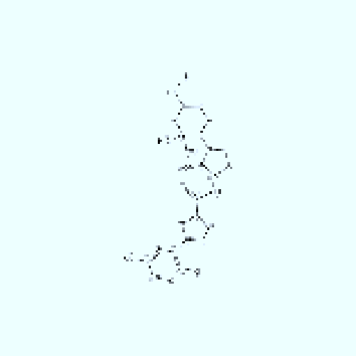 CC(C)(C)NC1CCC(N2CC[C@H](NC(=O)c3ccc(-c4cc(C(F)(F)F)ccc4Cl)o3)C2=O)C(C)(C(=O)O)C1